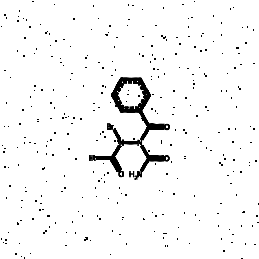 CCC(=O)N(Br)N(C(N)=O)C(=O)c1ccccc1